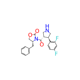 O=C1OC[C@H](Cc2ccccc2)N1C(=O)[C@@H]1CNC[C@H]1c1ccc(F)cc1F